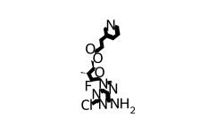 C[C@H]1[C@H](F)[C@H](n2cnc3c(N)nc(Cl)nc32)O[C@@H]1COC(=O)CCc1cccnc1